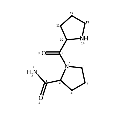 NC(=O)C1CCCN1C(=O)C1CCCN1